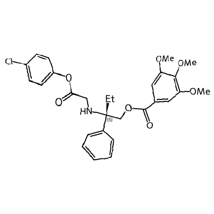 CC[C@](COC(=O)c1cc(OC)c(OC)c(OC)c1)(NCC(=O)Oc1ccc(Cl)cc1)c1ccccc1